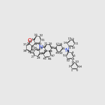 c1ccc(-c2ccc(N(c3ccccc3)c3ccc(-c4ccc(N(c5ccccc5)c5cccc6oc7ccccc7c56)c5ccccc45)cc3)cc2)cc1